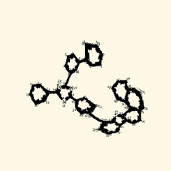 c1ccc(-c2cccc(-c3nc(-c4ccccc4)nc(-c4ccc(-c5cccc6c5sc5c6ccc6ccc7ccccc7c65)cc4)n3)c2)cc1